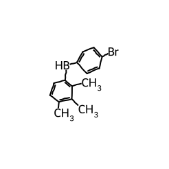 Cc1ccc(Bc2ccc(Br)cc2)c(C)c1C